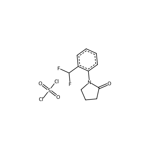 O=C1CCCN1c1ccccc1C(F)F.O=S(=O)(Cl)Cl